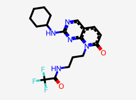 O=C(NCCCn1c(=O)ccc2cnc(NC3CCCCC3)nc21)C(F)(F)F